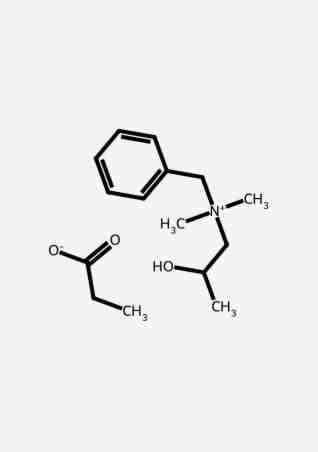 CC(O)C[N+](C)(C)Cc1ccccc1.CCC(=O)[O-]